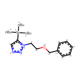 CCC[CH2][Sn]([CH2]CCC)([CH2]CCC)[c]1cnnn1CCOCc1ccccc1